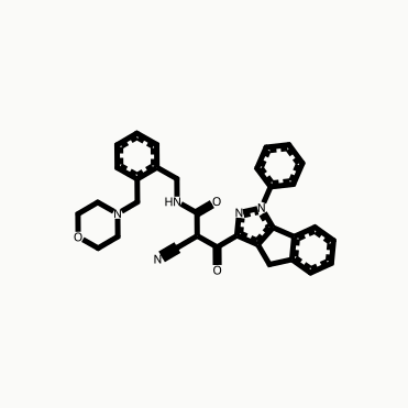 N#CC(C(=O)NCc1ccccc1CN1CCOCC1)C(=O)c1nn(-c2ccccc2)c2c1Cc1ccccc1-2